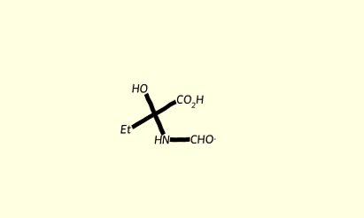 CCC(O)(N[C]=O)C(=O)O